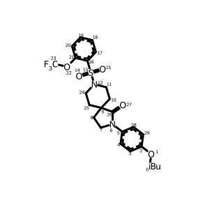 CCC(C)Oc1ccc(N2CCC3(CCN(S(=O)(=O)c4ccccc4OC(F)(F)F)CC3)C2=O)cc1